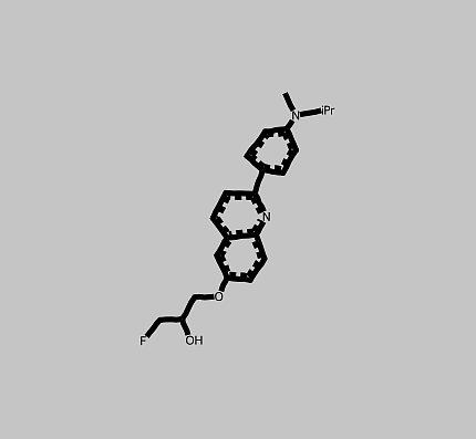 CC(C)N(C)c1ccc(-c2ccc3cc(OCC(O)CF)ccc3n2)cc1